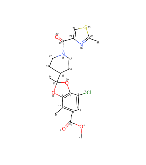 COC(=O)c1cc(Cl)c2c(c1C)OC(C)(C1CCN(C(=O)c3csc(C)n3)CC1)O2